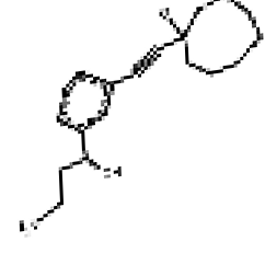 NCCC(O)c1cccc(C#CC2(O)CCCCCCC2)c1